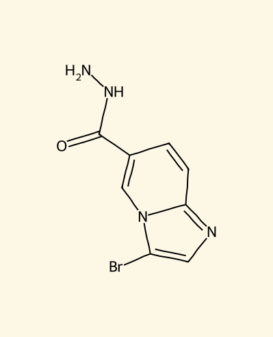 NNC(=O)c1ccc2ncc(Br)n2c1